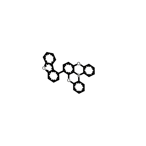 c1ccc2c(c1)Oc1ccc(-c3cccc4oc5ccccc5c34)c3c1B2c1ccccc1O3